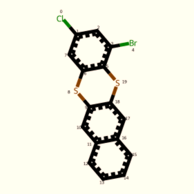 Clc1cc(Br)c2c(c1)Sc1cc3ccccc3cc1S2